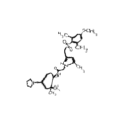 COc1cc(C)c(S(=O)(=O)Cc2cc(C)n(CC(=O)NC3CCC(N4CCCC4)CC3(C)C)n2)c(C)c1